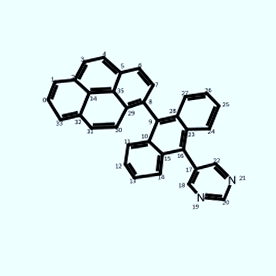 c1cc2ccc3ccc(-c4c5ccccc5c(-c5cncnc5)c5ccccc45)c4ccc(c1)c2c34